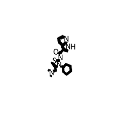 CN(C)Cc1cs/c(=N\C(=O)c2c[nH]c3ncccc23)n1C1CCCCC1